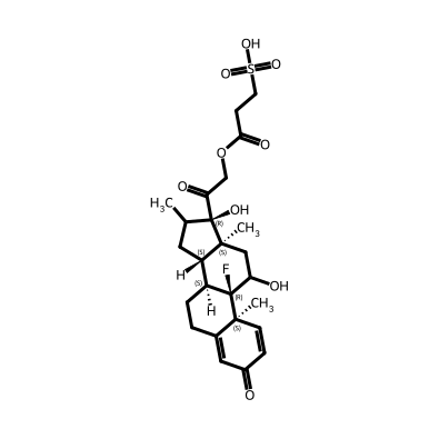 CC1C[C@H]2[C@@H]3CCC4=CC(=O)C=C[C@]4(C)[C@@]3(F)C(O)C[C@]2(C)[C@@]1(O)C(=O)COC(=O)CCS(=O)(=O)O